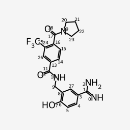 N=C(N)c1ccc(O)c(CNC(=O)c2ccc(C(=O)N3CCCC3)c(C(F)(F)F)c2)c1